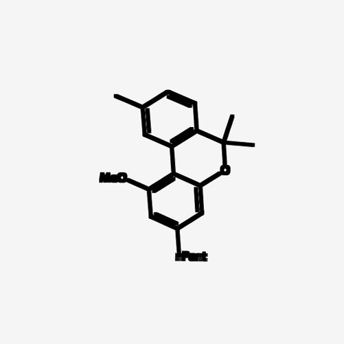 CCCCCc1cc(OC)c2c(c1)OC(C)(C)c1ccc(C)cc1-2